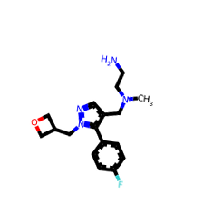 CN(CCN)Cc1cnn(CC2COC2)c1-c1ccc(F)cc1